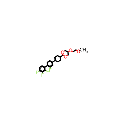 COCCOC1COC(C2CC=C(c3ccc(-c4ccc(F)c(F)c4F)c(F)c3)CC2)OC1